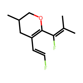 CC(C)=C(F)C1=C(/C=C/F)CC(C)CO1